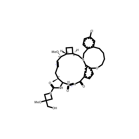 CO[C@H]1/C=C/C[C@H](C)C(NC(=O)N2CC(CO)(OC)C2)/[SH](=O)=N\C(=O)c2ccc3c(c2)N(Cc2ccc(Cl)cc2CCCCO3)C[C@@H]2CC[C@H]21